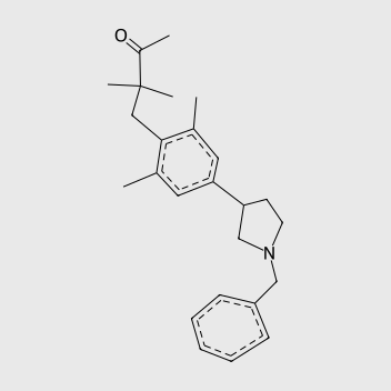 CC(=O)C(C)(C)Cc1c(C)cc(C2CCN(Cc3ccccc3)C2)cc1C